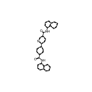 O=C(Nc1cccc2ccccc12)c1ccc(-c2ccc(C(=O)Nc3cccc4ccccc34)cn2)cc1